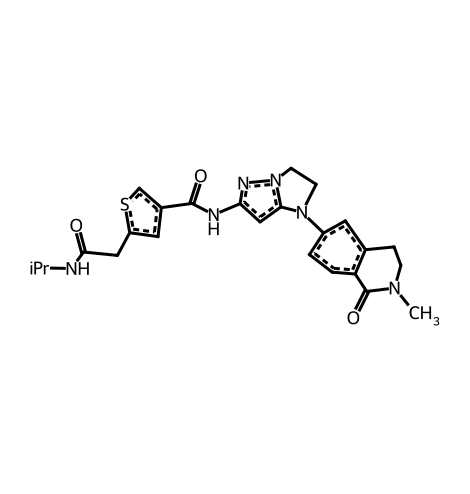 CC(C)NC(=O)Cc1cc(C(=O)Nc2cc3n(n2)CCN3c2ccc3c(c2)CCN(C)C3=O)cs1